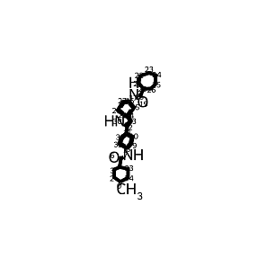 CC1CCC(C(=O)Nc2ccc(-c3cc4cc(NC(=O)C5CCCCCC5)ccc4[nH]3)cc2)CC1